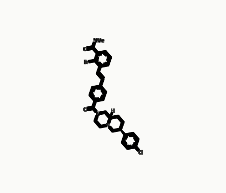 CNC(=O)c1cccc(/C=C/c2ccc(C(=O)N3CCN4C[C@H](c5ccc(Cl)cc5)CC[C@H]4C3)cc2)c1Br